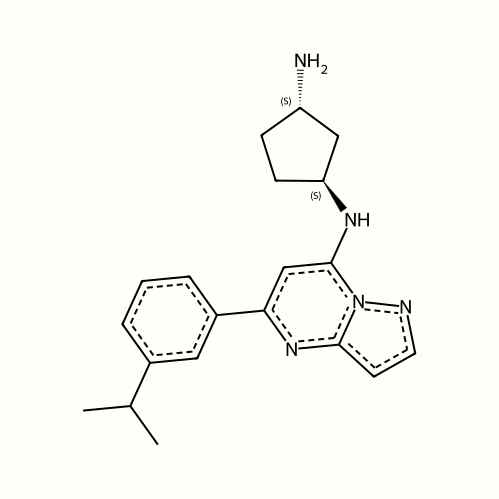 CC(C)c1cccc(-c2cc(N[C@H]3CC[C@H](N)C3)n3nccc3n2)c1